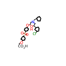 O=C(O)COc1ccc(S(=O)(=O)c2ccc(OCCN(Cc3ccccc3)C[C@@H](O)c3cccc(Cl)c3)cc2)cc1